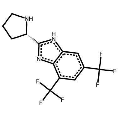 FC(F)(F)c1cc(C(F)(F)F)c2nc([C@@H]3CCCN3)[nH]c2c1